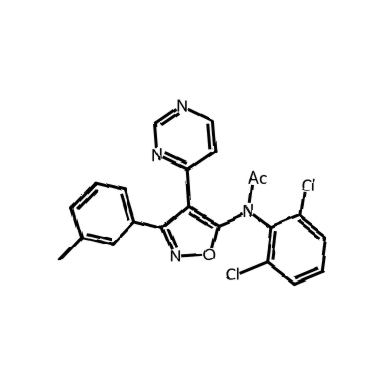 CC(=O)N(c1onc(-c2cccc(C)c2)c1-c1ccncn1)c1c(Cl)cccc1Cl